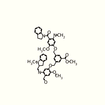 C=Nc1cc(OCc2cc(COc3cc(/N=C\C4Cc5ccccc5N4C)c(C=O)cc3OC)cc(C(=O)OC)c2)c(OC)cc1C(=O)N1CCc2ccccc21